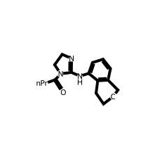 CCCC(=O)N1CCN=C1Nc1cccc2c1CCCC2